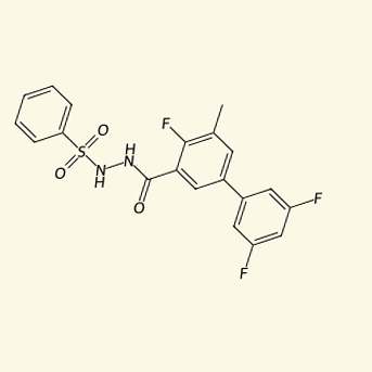 Cc1cc(-c2cc(F)cc(F)c2)cc(C(=O)NNS(=O)(=O)c2ccccc2)c1F